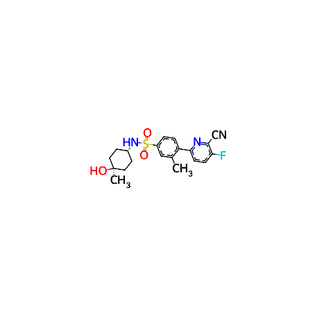 Cc1cc(S(=O)(=O)N[C@H]2CC[C@](C)(O)CC2)ccc1-c1ccc(F)c(C#N)n1